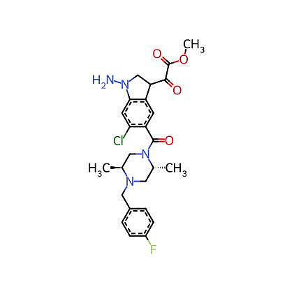 COC(=O)C(=O)C1CN(N)c2cc(Cl)c(C(=O)N3C[C@H](C)N(Cc4ccc(F)cc4)C[C@H]3C)cc21